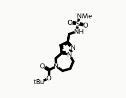 CNS(=O)(=O)NCc1cc2n(n1)CCCN(C(=O)OC(C)(C)C)C2